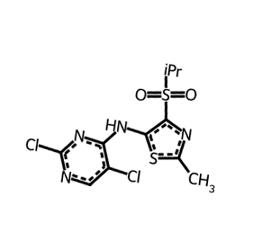 Cc1nc(S(=O)(=O)C(C)C)c(Nc2nc(Cl)ncc2Cl)s1